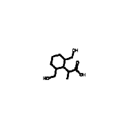 CC(C(=O)O)C1C(CO)C[CH]CC1CO